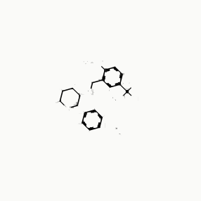 COc1ccc(C(C)(C)C#N)cc1CN[C@H]1CCCN[C@H]1c1ccccc1.Cl.Cl